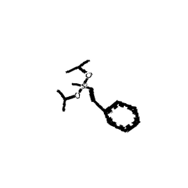 CC(C)O[Si](C)(C=Cc1ccccc1)OC(C)C